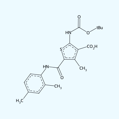 Cc1ccc(NC(=O)c2sc(NC(=O)OC(C)(C)C)c(C(=O)O)c2C)c(C)c1